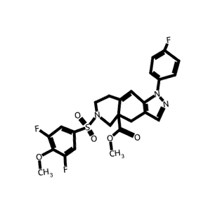 COC(=O)C12Cc3cnn(-c4ccc(F)cc4)c3C=C1CCN(S(=O)(=O)c1cc(F)c(OC)c(F)c1)C2